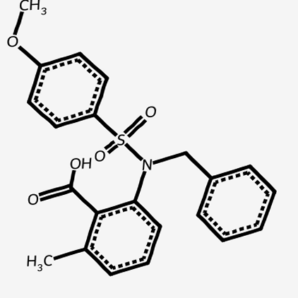 COc1ccc(S(=O)(=O)N(Cc2ccccc2)c2cccc(C)c2C(=O)O)cc1